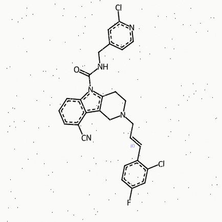 N#Cc1cccc2c1c1c(n2C(=O)NCc2ccnc(Cl)c2)CCN(C/C=C/c2ccc(F)cc2Cl)C1